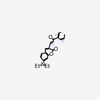 C/C=C\C(=C/C)C(=O)/C=C/c1cc2ccc(N(CC)CC)cc2oc1=O